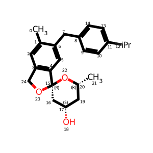 Cc1cc2c(cc1Cc1ccc(C(C)C)cc1)[C@]1(C[C@@H](O)C[C@@H](C)O1)OC2